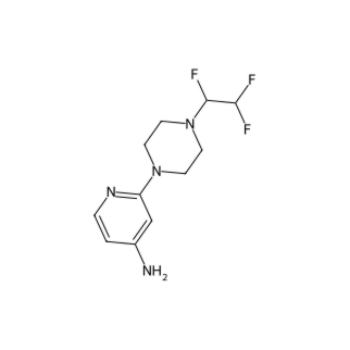 Nc1ccnc(N2CCN(C(F)C(F)F)CC2)c1